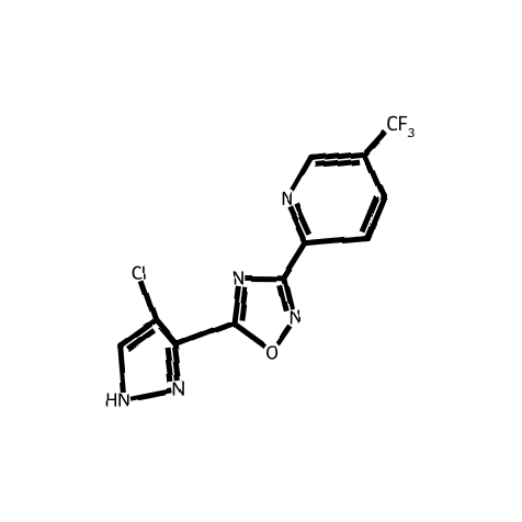 FC(F)(F)c1ccc(-c2noc(-c3n[nH]cc3Cl)n2)nc1